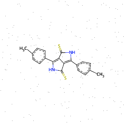 Cc1ccc(C2=C3C(=S)NC(c4ccc(C)cc4)=C3C(=S)N2)cc1